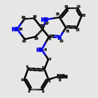 CNc1ccccc1CNC1=Nc2ccccc2NC12CCNCC2